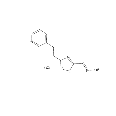 Cl.ON=Cc1nc(CCc2cccnc2)cs1